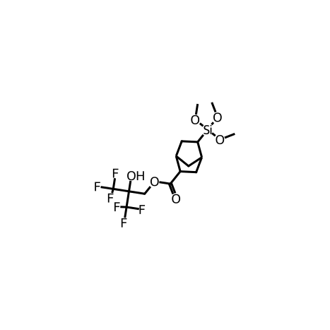 CO[Si](OC)(OC)C1CC2CC1CC2C(=O)OCC(O)(C(F)(F)F)C(F)(F)F